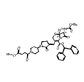 CC(C)(C)OC(=O)CCC(=O)N1CCC(N2CCC(=CC3=C(C(=O)OC(c4ccccc4)c4ccccc4)N4C(=O)[C@@H](NC(=O)OC(C)(C)C)[C@H]4SC3)C2=O)CC1